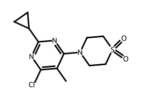 Cc1c(Cl)nc(C2CC2)nc1N1CCS(=O)(=O)CC1